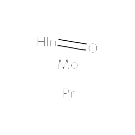 [Mo].[O]=[InH].[Pr]